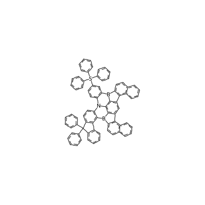 c1ccc(C2(c3ccccc3)c3ccccc3-c3c2ccc2c3B3c4ccc5ccccc5c4-c4cc5c6c(c43)N2c2ccc(S(c3ccccc3)(c3ccccc3)c3ccccc3)cc2B6c2ccc3ccccc3c2-5)cc1